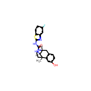 CN1CC[C@@]2(C)c3cc(O)ccc3C[C@@H]1[C@@H]2NC(=O)Nc1nc2cc(F)ccc2s1